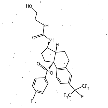 O=C(NCCO)N[C@@H]1CC[C@@]2(S(=O)(=O)c3ccc(F)cc3)c3ccc(C(F)(C(F)(F)F)C(F)(F)F)cc3CC[C@@H]12